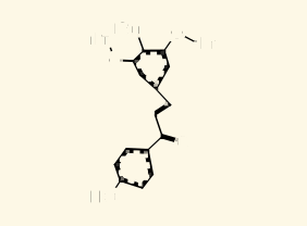 CC(C)Oc1cc(C=CC(=O)c2ccc(O)cc2)cc(OC(C)C)c1C(C)(C)C